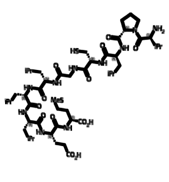 CSCC[C@H](NC(=O)[C@H](CCC(=O)O)NC(=O)[C@H](CC(C)C)NC(=O)[C@H](CC(C)C)NC(=O)[C@H](CC(C)C)NC(=O)CNC(=O)[C@H](CS)NC(=O)[C@H](CC(C)C)NC(=O)[C@@H]1CCCN1C(=O)[C@@H](N)C(C)C)C(=O)O